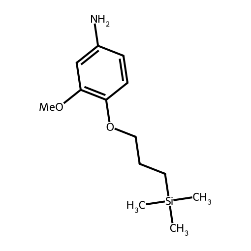 COc1cc(N)ccc1OCCC[Si](C)(C)C